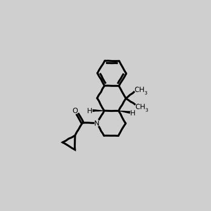 CC1(C)c2ccccc2C[C@@H]2[C@H]1CCCN2C(=O)C1CC1